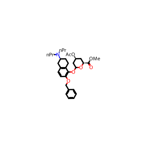 CCCN(CCC)[C@H]1CCc2c(ccc(OCc3ccccc3)c2OC2C[C@@H](OC(C)=O)C[C@@H](C(=O)OC)O2)C1